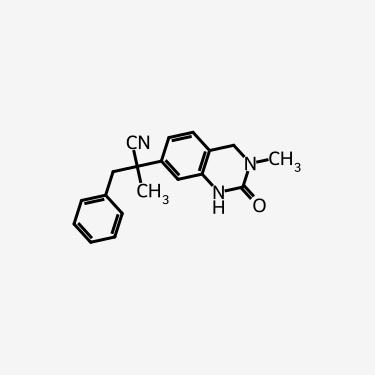 CN1Cc2ccc(C(C)(C#N)Cc3ccccc3)cc2NC1=O